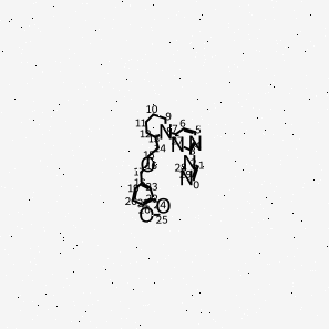 c1cn(-c2nccc(N3CCCCC3CCOCc3ccc4c(c3)OCO4)n2)cn1